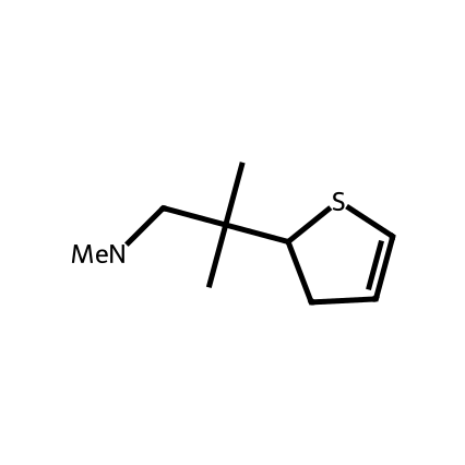 CNCC(C)(C)C1CC=CS1